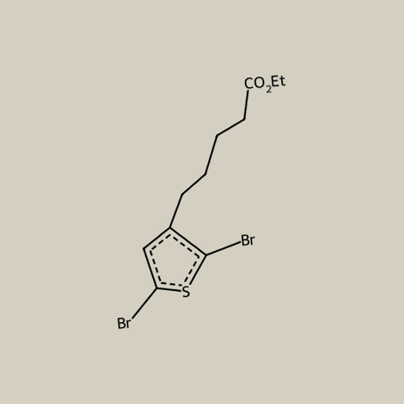 CCOC(=O)CCCCc1cc(Br)sc1Br